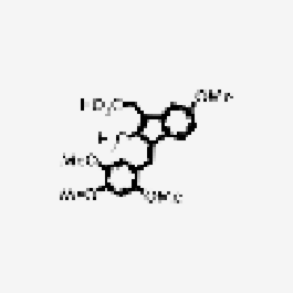 COc1ccc2c(c1)C(CC(=O)O)=C(C)C2=Cc1cc(OC)c(OC)cc1OC